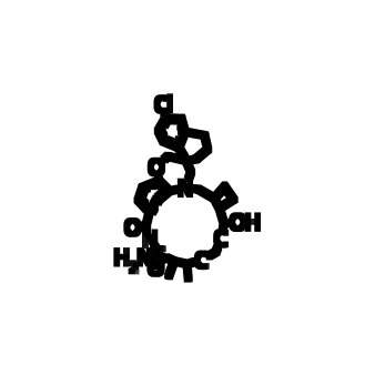 CC1CCCC(O)C2CCC2CN2CC3(CCCc4cc(Cl)ccc43)COc3ccc(cc32)C(=O)N=S(N)(=O)C1C